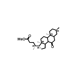 COC(=O)CC[C@@H](C)[C@H]1CCC2C3C(=O)CC4C[C@H](C)CC[C@]4(C)C3CC[C@@]21C